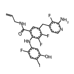 C=CCNC(=O)c1cc(Cc2ccnc(N)c2F)c(F)c(F)c1Nc1cc(O)c(I)cc1F